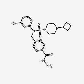 NNC(=O)c1ccc(CN(c2cccc(Cl)c2)S(=O)(=O)N2CCN(C3CCC3)CC2)nc1